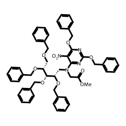 COC(=O)CN(C[C@H](OCc1ccccc1)[C@H](OCc1ccccc1)[C@@H](COCc1ccccc1)OCc1ccccc1)c1nc(OCc2ccccc2)nc(OCc2ccccc2)c1[N+](=O)[O-]